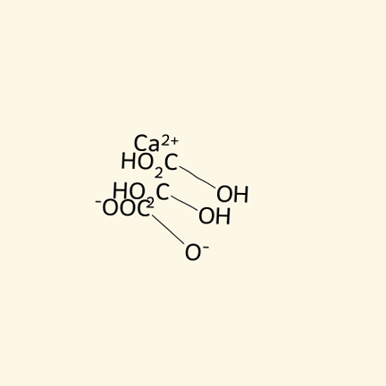 O=C(O)O.O=C(O)O.O=C([O-])[O-].[Ca+2]